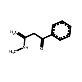 C=C(CC(=O)c1ccccc1)NC